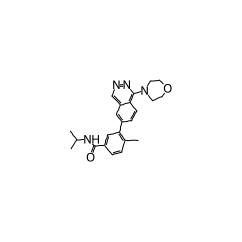 Cc1ccc(C(=O)NC(C)C)cc1-c1ccc2c(N3CCOCC3)nncc2c1